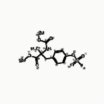 CC(C)(C)OC(=O)NC(C)(Cc1ccc(OS(=O)(=O)F)cc1)C(=O)OC(C)(C)C